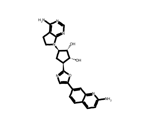 Nc1ccc2ccc(-c3cnc([C@H]4C[C@@H](N5CCc6c(N)ncnc65)[C@H](O)[C@@H]4O)o3)cc2n1